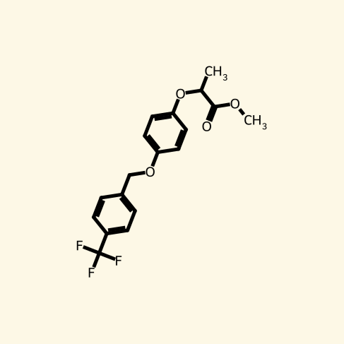 COC(=O)C(C)Oc1ccc(OCc2ccc(C(F)(F)F)cc2)cc1